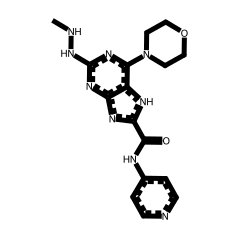 CNNc1nc(N2CCOCC2)c2[nH]c(C(=O)Nc3ccncc3)nc2n1